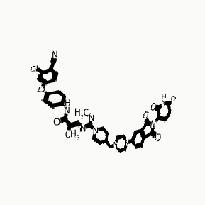 C=N/C(=N\C=C(/C)C(=O)N[C@H]1CC[C@H](Oc2ccc(C#N)c(Cl)c2)CC1)N1CCC(CN2CCN(c3ccc4c(c3)C(=O)N(C3CCC(=O)NC3=O)C4=O)CC2)CC1